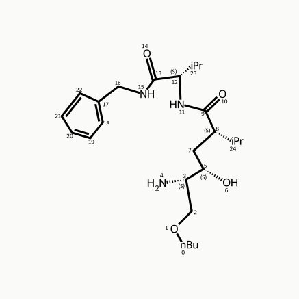 CCCCOC[C@H](N)[C@@H](O)C[C@H](C(=O)N[C@H](C(=O)NCc1ccccc1)C(C)C)C(C)C